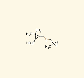 CC1(CSC[C@H]2[C@@H](C(=O)O)C2(C)C)CC1